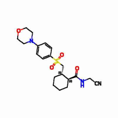 N#CCNC(=O)[C@H]1CCCC[C@@H]1CS(=O)(=O)c1ccc(N2CCOCC2)cc1